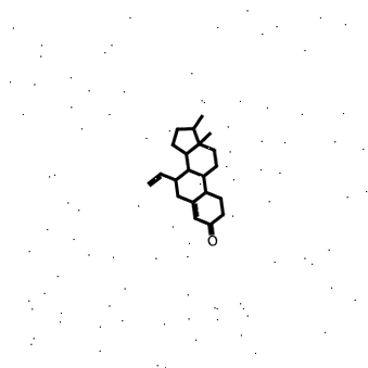 C=CC1CC2=CC(=O)CCC2C2CCC3(C)C(C)CCC3C12